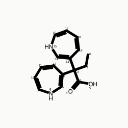 CCC(C(=O)O)(C1=CNC=CC=C1)C1=CNC=CC=C1